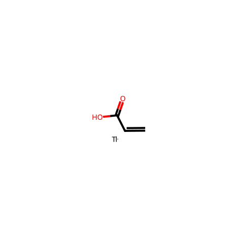 C=CC(=O)O.[Tl]